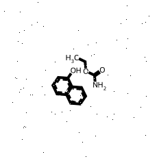 CCOC(N)=O.Oc1cccc2ccccc12